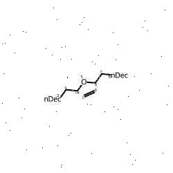 C=C.CCCCCCCCCCCCOCCCCCCCCCCCC